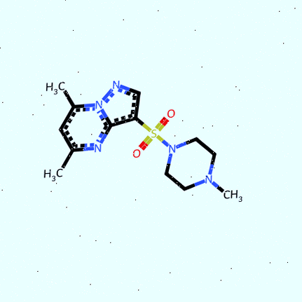 Cc1cc(C)n2ncc(S(=O)(=O)N3CCN(C)CC3)c2n1